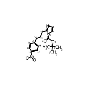 CC(C)(C)OC(=O)n1ccnc1CCCc1ccc([N+](=O)[O-])cc1